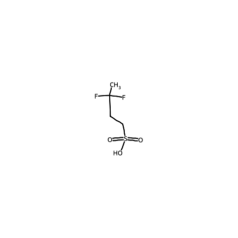 CC(F)(F)CCS(=O)(=O)O